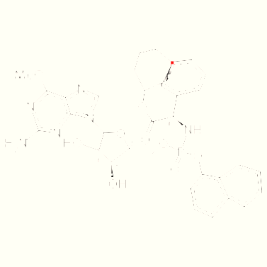 COc1nc(N)nc2c1ncn2C1O[C@H](COP(=O)(N[C@@H](C(=O)OC2CCCCC2)c2ccccc2)Oc2cccc3ccccc23)[C@@H](O)[C@@]1(C)O